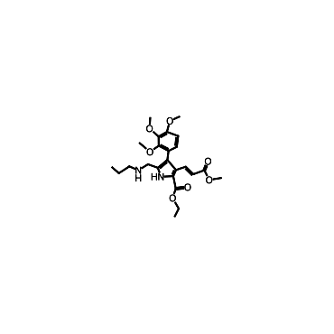 CCCNCc1[nH]c(C(=O)OCC)c(C=CC(=O)OC)c1-c1ccc(OC)c(OC)c1OC